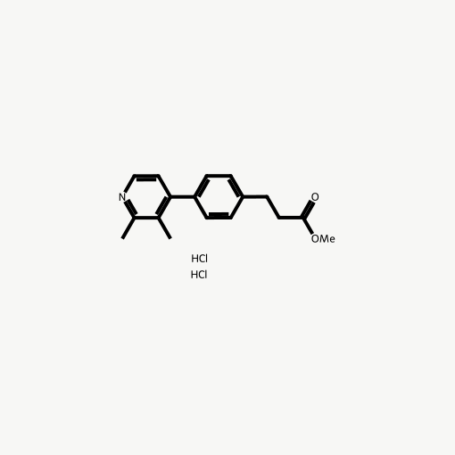 COC(=O)CCc1ccc(-c2ccnc(C)c2C)cc1.Cl.Cl